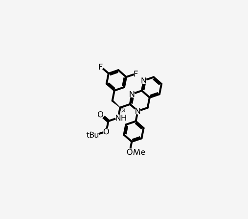 COc1ccc(N2Cc3cccnc3N=C2[C@H](Cc2cc(F)cc(F)c2)NC(=O)OC(C)(C)C)cc1